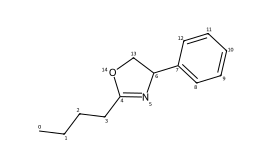 CCCCC1=NC(c2ccccc2)CO1